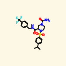 CC(C)c1ccc(S(=O)(=O)N2CCN(C(N)=O)CC2C(=O)NCc2ccc(C(F)(F)F)cc2)cc1